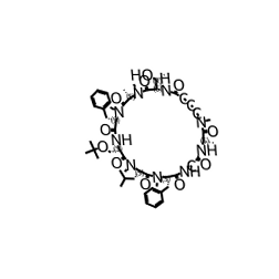 CC(C)C[C@H]1C(=O)N(C)[C@@H](Cc2ccccc2)C(=O)NCC(=O)N[C@@H](C)C(=O)N(C)CCCC(=O)N[C@@H]([C@@H](C)O)C(=O)N(C)[C@@H](C)C(=O)N(C)[C@@H](Cc2ccccc2)C(=O)N[C@@H](COC(C)(C)C)C(=O)N1C